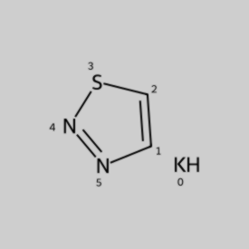 [KH].c1csnn1